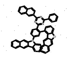 c1ccc(-c2nc(-c3ccc4ccccc4c3)nc(-c3ccc(-n4c5ccccc5c5cc6ccccc6cc54)cc3-c3cccc4oc5cc6ccccc6cc5c34)n2)cc1